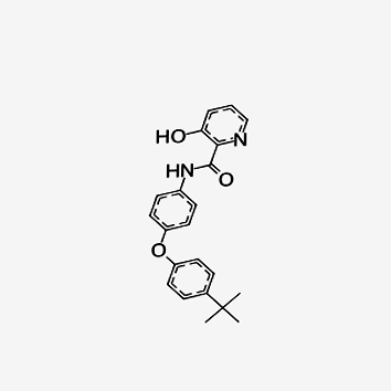 CC(C)(C)c1ccc(Oc2ccc(NC(=O)c3ncccc3O)cc2)cc1